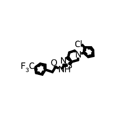 O=C(Cc1ccc(C(F)(F)F)cc1)Nc1nc2c(s1)CN(c1ccccc1Cl)CC2